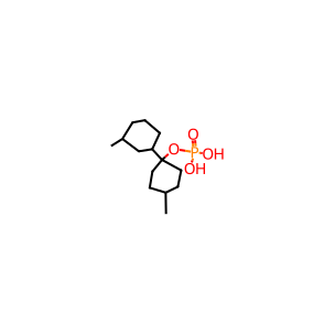 CC1CCC(OP(=O)(O)O)(C2CCCC(C)C2)CC1